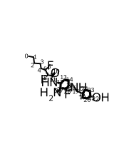 CCCCCC(F)C(F)C(=O)Nc1ccc(NCc2ccc(O)cc2)c(F)c1N